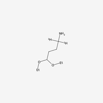 [2H]C([2H])(N)CCC(OCC)OCC